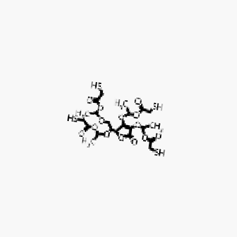 CC(OCC(OC(C)OC(=O)CS)C1OC(=O)C(OC(C)OC(=O)CS)=C1OC(C)OC(=O)CS)OC(=O)CS